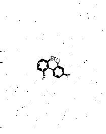 Fc1ccc(-c2c(Br)[c]ccc2F)c(Cl)c1